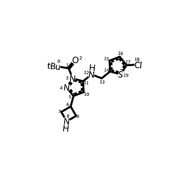 CC(C)(C)C(=O)n1nc(C2CNC2)cc1NCc1ccc(Cl)s1